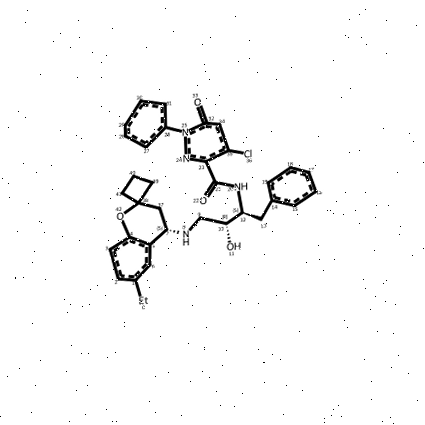 CCc1ccc2c(c1)[C@@H](NC[C@@H](O)[C@H](Cc1ccccc1)NC(=O)c1nn(-c3ccccc3)c(=O)cc1Cl)CC1(CCC1)O2